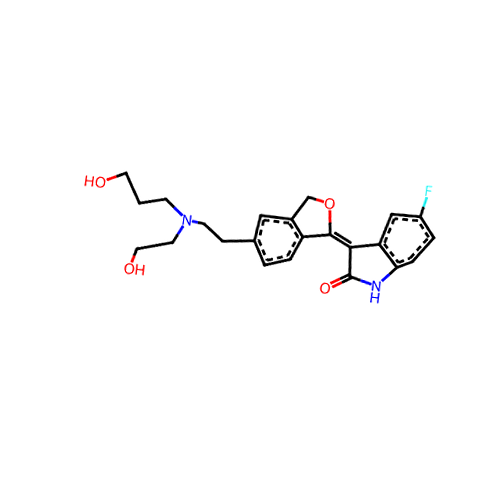 O=C1Nc2ccc(F)cc2/C1=C1\OCc2cc(CCN(CCO)CCCO)ccc21